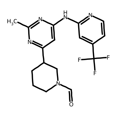 Cc1nc(Nc2cc(C(F)(F)F)ccn2)cc(C2CCCN(C=O)C2)n1